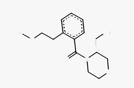 CCOCCc1ccccc1C(=O)N1CCOC[C@H]1CO